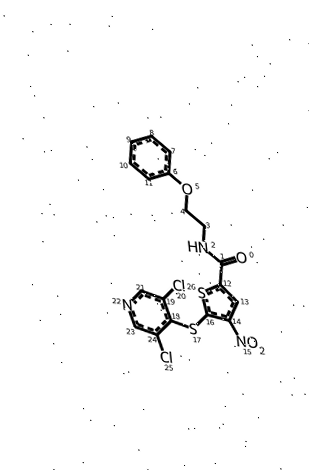 O=C(NCCOc1ccccc1)c1cc([N+](=O)[O-])c(Sc2c(Cl)cncc2Cl)s1